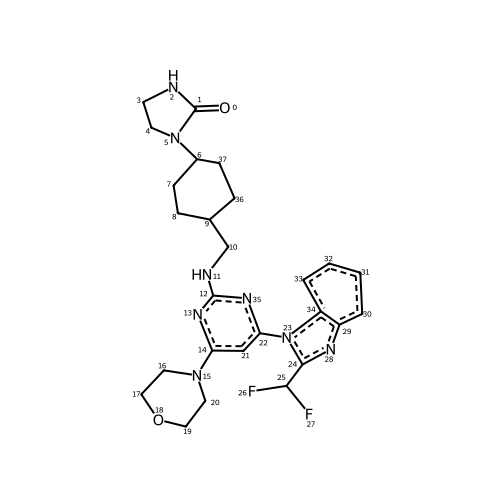 O=C1NCCN1C1CCC(CNc2nc(N3CCOCC3)cc(-n3c(C(F)F)nc4ccccc43)n2)CC1